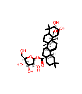 CC1(C)CC[C@]2(C(=O)O[C@@H]3O[C@H](CO)[C@@H](O)[C@H](O)[C@H]3O)CC[C@]3(C)C(=CC[C@H]4[C@@]5(CO)C[C@H](O)[C@@H](O)C(C)(C)C5CC[C@]43C)[C@H]2C1